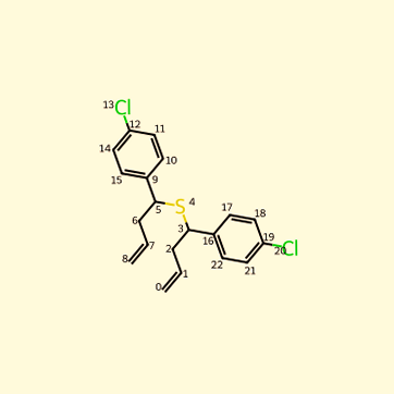 C=CCC(SC(CC=C)c1ccc(Cl)cc1)c1ccc(Cl)cc1